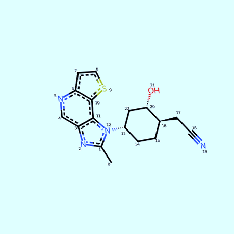 Cc1nc2cnc3ccsc3c2n1[C@H]1CC[C@H](CC#N)[C@@H](O)C1